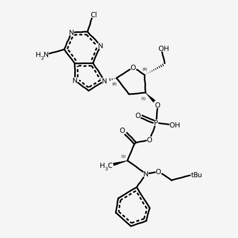 C[C@@H](C(=O)OP(=O)(O)O[C@H]1C[C@H](n2cnc3c(N)nc(Cl)nc32)O[C@@H]1CO)N(OCC(C)(C)C)c1ccccc1